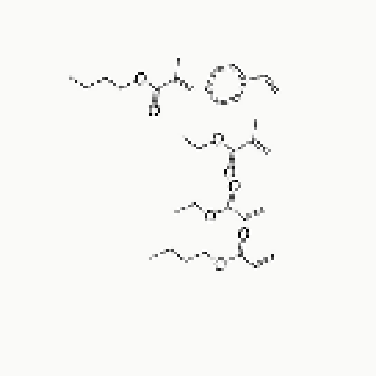 C=C(C)C(=O)OCC.C=C(C)C(=O)OCCCC.C=CC(=O)OCC.C=CC(=O)OCCCC.C=Cc1ccccc1